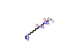 C=CC(=O)NCCCNC(=O)CCCCCCCCn1ccnc1